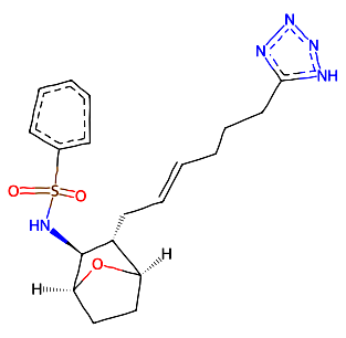 O=S(=O)(N[C@H]1[C@H](CC=CCCCc2nnn[nH]2)[C@H]2CC[C@@H]1O2)c1ccccc1